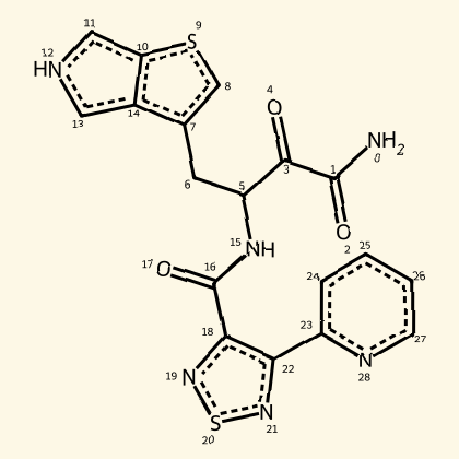 NC(=O)C(=O)C(Cc1csc2c[nH]cc12)NC(=O)c1nsnc1-c1ccccn1